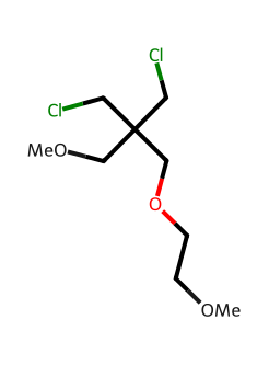 COCCOCC(CCl)(CCl)COC